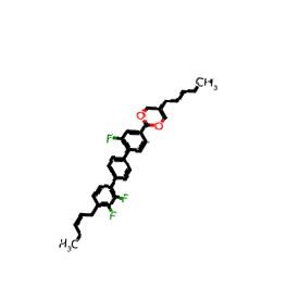 CC/C=C\Cc1ccc(-c2ccc(-c3ccc(C4OCC(CCCCC)CO4)cc3F)cc2)c(F)c1F